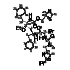 CCO[C@@H](C[C@H](Cc1ccccc1)NC(=O)[C@@H](NC(=O)N(C)Cc1csc(C(C)C)n1)C(C)C)[C@H](Cc1ccccc1)NC(=O)OCc1cncs1